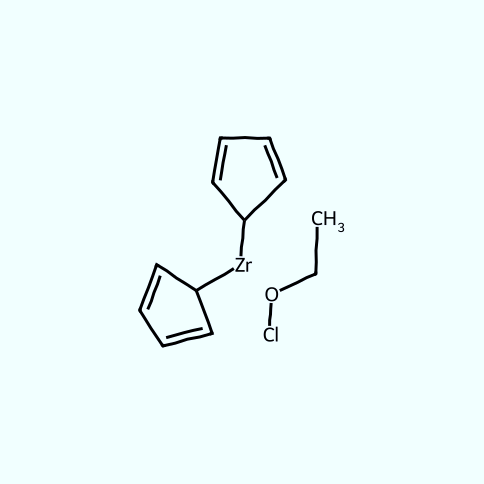 C1=C[CH]([Zr][CH]2C=CC=C2)C=C1.CCOCl